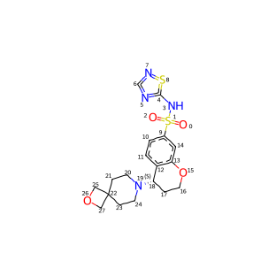 O=S(=O)(Nc1ncns1)c1ccc2c(c1)OCC[C@@H]2N1CCC2(CC1)COC2